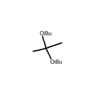 CC(C)COC(C)(C)OCC(C)C